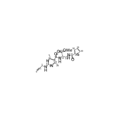 C#CCNc1nc(C)c(C(=O)NC(CNC(=O)c2cccs2)C(=O)OC)c(C)n1